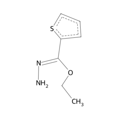 CCOC(=NN)c1cccs1